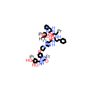 CCNC(=O)c1nnc(-c2cc(C(C)C)c(O)cc2O)n1-c1ccc(OC2CCN(c3cnc(C(=O)NC(CCc4ccccc4)C(=O)NC(CC(C)C)C(=O)NC(Cc4ccccc4)C(=O)NC(CC(C)C)C(=O)C4(C)CO4)cn3)CC2)cc1